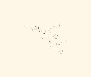 C#CCNC(=O)c1cccc(S(=O)(=O)OCC(C)(OC(=O)CCC(=O)NCC(N)=O)C(=O)[C@@H](NC(=O)[C@H](Cc2ccccc2)NC(=O)[C@H](CC(C)C)NC(=O)[C@H](CCc2ccccc2)NC(=O)CN2CCOCC2)C2CC2(C)C)c1